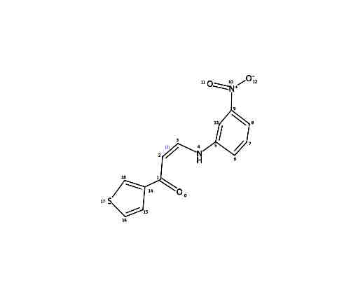 O=C(/C=C\Nc1cccc([N+](=O)[O-])c1)c1ccsc1